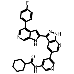 O=C(Nc1cncc(-c2cnc3[nH]nc(-c4cc5c(-c6ccc(F)cc6)cncc5[nH]4)c3c2)c1)C1CCCCC1